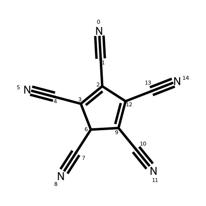 N#CC1=C(C#N)C(C#N)C(C#N)=C1C#N